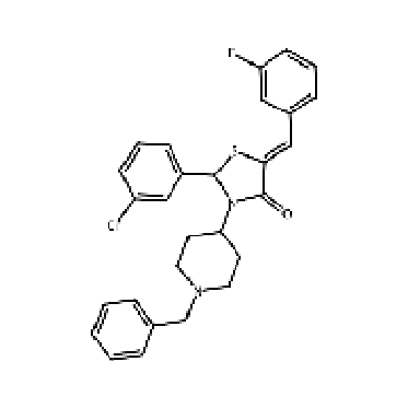 O=C1C(=Cc2cccc(F)c2)SC(c2cccc(Cl)c2)N1C1CCN(Cc2ccccc2)CC1